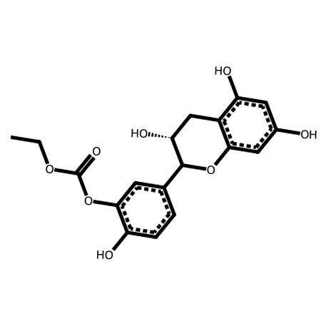 CCOC(=O)Oc1cc(C2Oc3cc(O)cc(O)c3C[C@H]2O)ccc1O